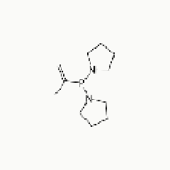 C=C(C)P(N1CCCC1)N1CCCC1